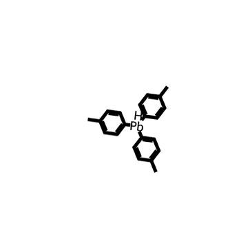 Cc1cc[c]([PbH]([c]2ccc(C)cc2)[c]2ccc(C)cc2)cc1